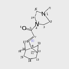 CN1CCN(C(=O)/C=C/C23CC2(C)CCCC3(C)C)CC1